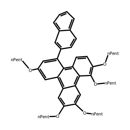 CCCCCOc1cc(-c2ccc3ccccc3c2)c2c(c1)c1cc(OCCCCC)c(OCCCCC)cc1c1c(OCCCCC)c(OCCCCC)ccc21